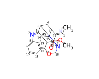 C/C=C1\C2CC3C4=Nc5ccccc5[C@@]4(C4COCN3C14)C2C(=O)OC